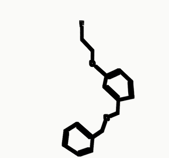 FCCOc1cccc(COCc2ccccc2)c1